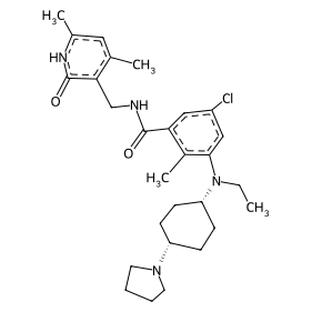 CCN(c1cc(Cl)cc(C(=O)NCc2c(C)cc(C)[nH]c2=O)c1C)[C@H]1CC[C@@H](N2CCCC2)CC1